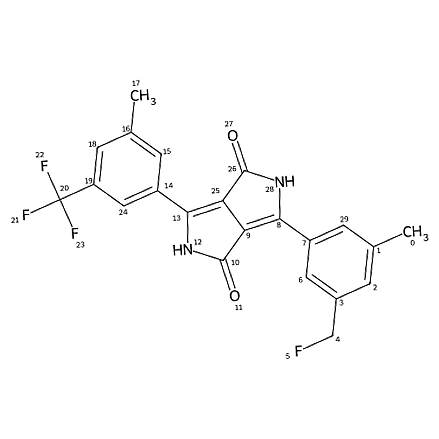 Cc1cc(CF)cc(C2=C3C(=O)NC(c4cc(C)cc(C(F)(F)F)c4)=C3C(=O)N2)c1